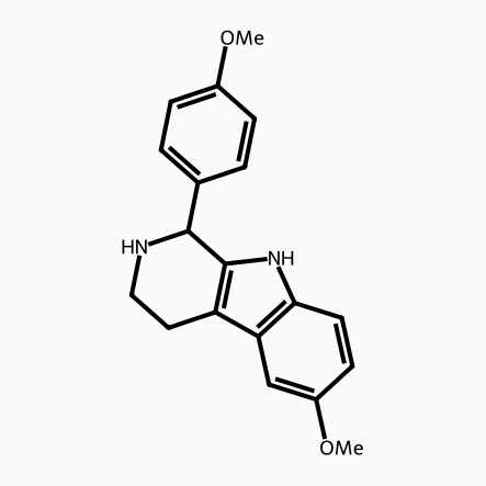 COc1ccc(C2NCCc3c2[nH]c2ccc(OC)cc32)cc1